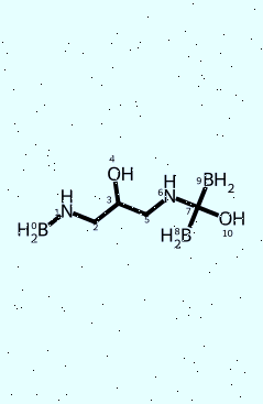 BNCC(O)CNC(B)(B)O